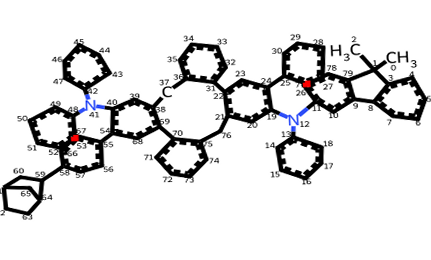 CC1(C)c2ccccc2-c2cc(N(c3ccccc3)c3cc4c(cc3-c3ccccc3)-c3ccccc3Cc3cc(N(c5ccccc5)c5ccccc5)c(-c5ccc(C6CC7CCC6C7)cc5)cc3-c3ccccc3C4)ccc21